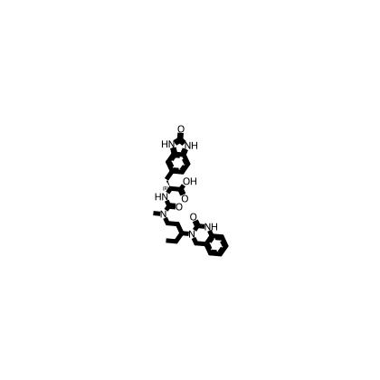 CCC(CCN(C)C(=O)N[C@H](Cc1ccc2[nH]c(=O)[nH]c2c1)C(=O)O)N1Cc2ccccc2NC1=O